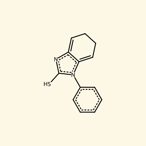 Sc1nc2c(n1-c1ccccc1)=CCCC=2